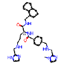 Cn1ccnc1CNCc1ccc(C(=O)N[C@@H](CCCNCc2ncc[nH]2)C(=O)NCc2cccc3ccccc23)cc1